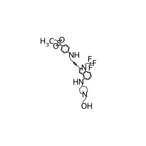 CCS(=O)(=O)c1ccc(NCC#Cc2cc3c(NC4CCN(CCO)CC4)cccc3n2CC(F)(F)F)cc1